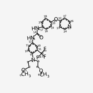 COCCN(CCOC)c1ccc(NC(=O)Nc2ccc(Oc3ccncc3)cc2)cc1C(F)(F)F